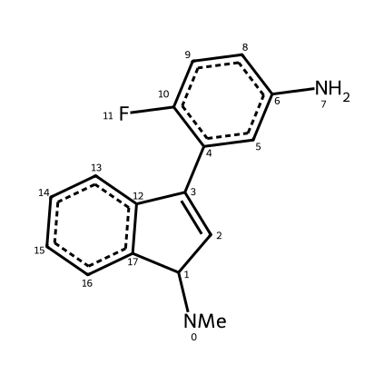 CNC1C=C(c2cc(N)ccc2F)c2ccccc21